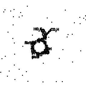 CNC(=O)C[C@@H]1NOCc2csc(n2)-c2ccc(-c3nc(N(CCCCCCC(=O)O)C(=O)O[C@H]4CC[C@H](C(=O)O)CC4)cs3)nc2-c2csc(n2)-c2csc(n2)[C@H]([C@@H](O)c2ccccc2)NC(=O)CNC(=O)c2nc(sc2COC)C(C(C)C)NC(=O)c2nc1sc2C